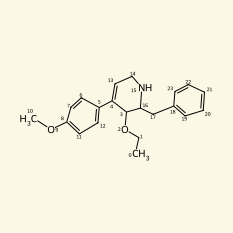 CCOC1C(c2ccc(OC)cc2)=CCNC1Cc1ccccc1